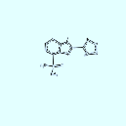 NP(N)(=O)c1cccc2[nH]c(-c3nnn[nH]3)nc12